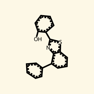 Oc1ccccc1-c1nc2c(-c3ccccc3)cccc2s1